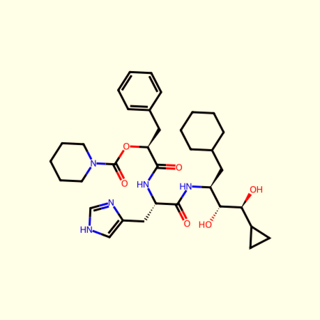 O=C(N[C@@H](CC1CCCCC1)[C@@H](O)[C@@H](O)C1CC1)[C@H](Cc1c[nH]cn1)NC(=O)[C@H](Cc1ccccc1)OC(=O)N1CCCCC1